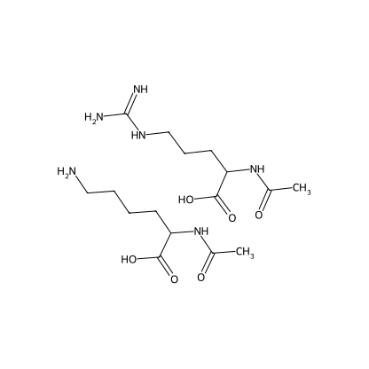 CC(=O)NC(CCCCN)C(=O)O.CC(=O)NC(CCCNC(=N)N)C(=O)O